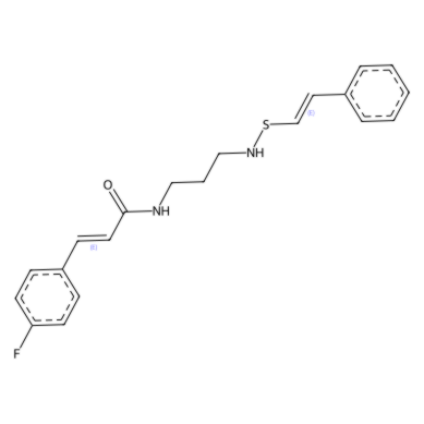 O=C(/C=C/c1ccc(F)cc1)NCCCNS/C=C/c1ccccc1